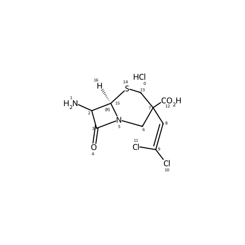 Cl.NC1C(=O)N2CC(C=C(Cl)Cl)(C(=O)O)CS[C@H]12